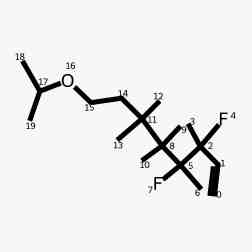 C=CC(C)(F)C(C)(F)C(C)(C)C(C)(C)CCOC(C)C